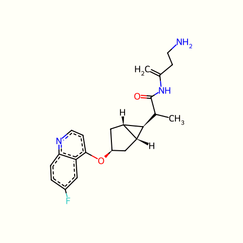 C=C(CCN)NC(=O)C(C)[C@H]1[C@@H]2C[C@@H](Oc3ccnc4ccc(F)cc34)C[C@@H]21